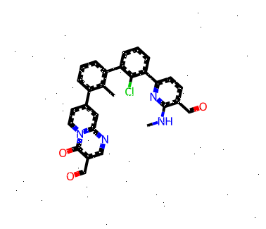 CNc1nc(-c2cccc(-c3cccc(-c4ccn5c(=O)c(C=O)cnc5c4)c3C)c2Cl)ccc1C=O